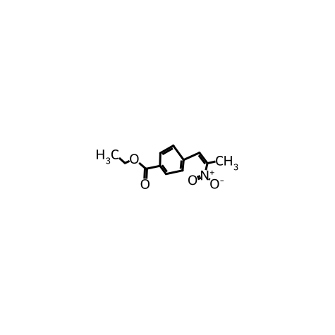 CCOC(=O)c1ccc(C=C(C)[N+](=O)[O-])cc1